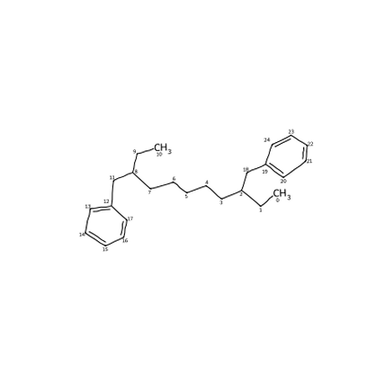 CCC(CCCCCC(CC)Cc1ccccc1)Cc1ccccc1